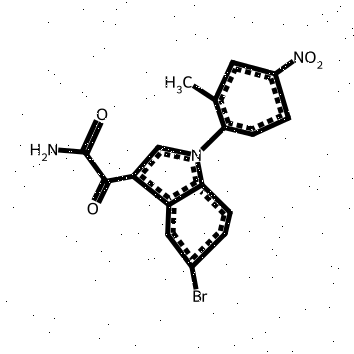 Cc1cc([N+](=O)[O-])ccc1-n1cc(C(=O)C(N)=O)c2cc(Br)ccc21